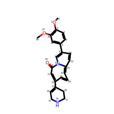 COc1ccc(C2=CN3C(=O)\C=C(C4=CCNCC4)/C=C/C=C/3C=C2)cc1OC